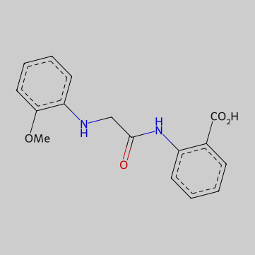 COc1ccccc1NCC(=O)Nc1ccccc1C(=O)O